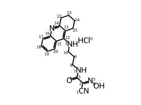 Cl.N#CC(=NO)C(=O)NCCCNc1c2c(nc3ccccc13)CCCC2